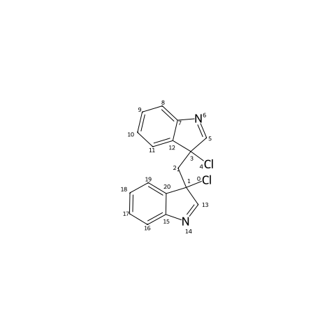 ClC1([CH]C2(Cl)C=Nc3ccccc32)C=Nc2ccccc21